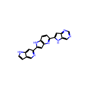 c1ncc2[nH]c(-c3ccc4[nH]c(-c5cc6[nH]ccc6cn5)cc4n3)cc2n1